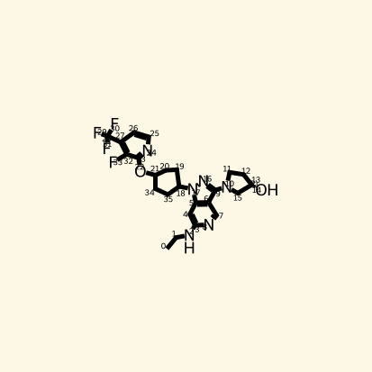 CCNc1cc2c(cn1)c(N1CC[C@@H](O)C1)nn2C1CCC(Oc2nccc(C(F)(F)F)c2F)CC1